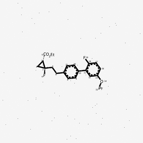 CCOC(=O)[C@H]1C[C@@]1(F)CCc1ccc(-c2cc(OC(C)C)ccc2F)cc1